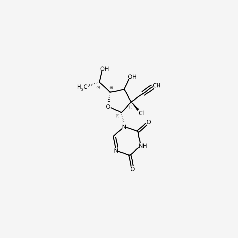 C#C[C@@]1(Cl)C(O)[C@@H]([C@H](C)O)O[C@H]1n1cnc(=O)[nH]c1=O